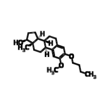 CCCCOc1cc2c(cc1OC)[C@H]1CC[C@]3(C)[C@@H](O)CC[C@H]3[C@@H]1CC2